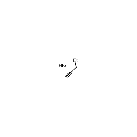 Br.C#CCCC